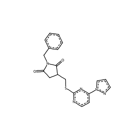 O=C1CC(CSc2nccc(-n3cccn3)n2)C(=O)N1Cc1ccccc1